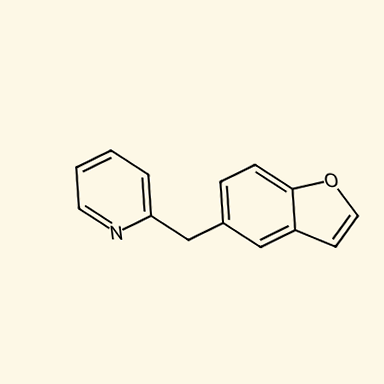 c1ccc(Cc2ccc3occc3c2)nc1